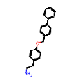 NCCc1ccc(OCc2ccc(-c3ccccc3)cc2)cc1